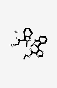 CCOC(=O)c1ncoc1-c1c2ccccc2nn1C.Cl.Cn1nc2ccccc2c1C(=O)CN